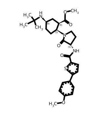 COC(=O)[C@@H]1C[C@H](NC(C)(C)C)CC[C@@H]1N1CC[C@H](NC(=O)c2ccc(-c3ccc(OC)cc3)s2)C1=O